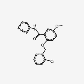 COc1ccc(OCc2ccccc2Cl)c(C(=O)Nc2cccnc2)c1